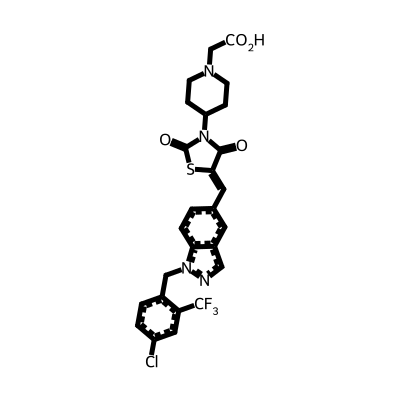 O=C(O)CN1CCC(N2C(=O)S/C(=C\c3ccc4c(cnn4Cc4ccc(Cl)cc4C(F)(F)F)c3)C2=O)CC1